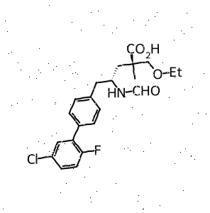 CCOC[C@](C)(C[C@@H](Cc1ccc(-c2cc(Cl)ccc2F)cc1)NC=O)C(=O)O